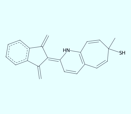 C=C1C(=C2C=CC3=C(C=CC(C)(S)C=C3)N2)C(=C)c2ccccc21